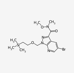 CON(C)C(=O)c1nn(COCC[Si](C)(C)C)c2ncc(Br)cc12